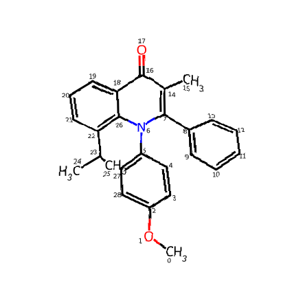 COc1ccc(-n2c(-c3ccccc3)c(C)c(=O)c3cccc(C(C)C)c32)cc1